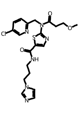 COCCC(=O)N(Cc1ccc(Cl)cn1)c1ncc(C(=O)NCCCn2ccnc2)s1